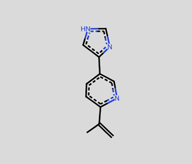 C=C(C)c1ccc(-c2c[nH]cn2)cn1